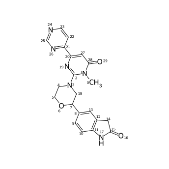 Cn1c(N2CCOC(c3ccc4c(c3)CC(=O)N4)C2)nc(-c2ccncn2)cc1=O